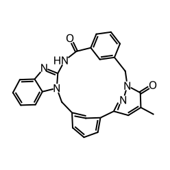 Cc1cc2nn(c1=O)Cc1cccc(c1)C(=O)Nc1nc3ccccc3n1Cc1cccc-2c1